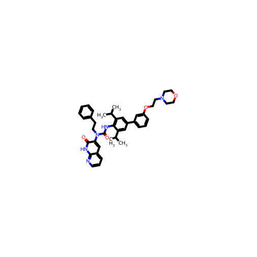 CC(C)c1cc(-c2cccc(OCCN3CCOCC3)c2)cc(C(C)C)c1NC(=O)N(CCc1ccccc1)c1cc2cccnc2[nH]c1=O